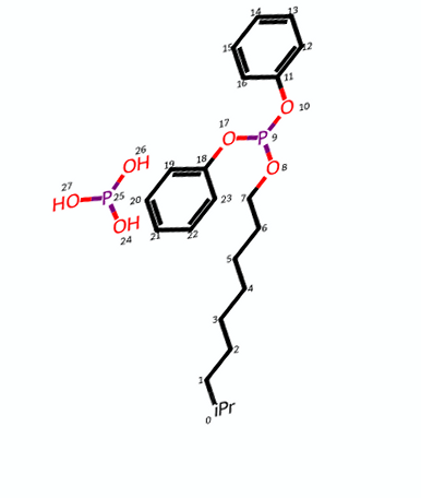 CC(C)CCCCCCCOP(Oc1ccccc1)Oc1ccccc1.OP(O)O